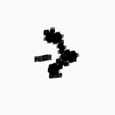 COc1cccc(CC(=O)N(C)CCN(CCCOc2ccc3c(ccc(=O)n3C)c2)Cc2ccncc2)c1.Cl.Cl